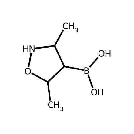 CC1NOC(C)C1B(O)O